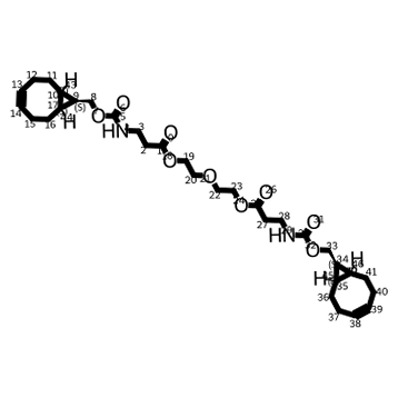 O=C(CCNC(=O)OC[C@@H]1[C@@H]2CCC#CCC[C@@H]21)OCCOCCOC(=O)CCNC(=O)OC[C@@H]1[C@@H]2CCC#CCC[C@@H]21